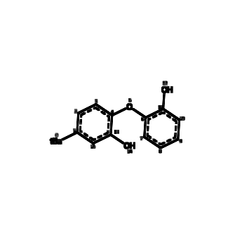 CC(C)(C)c1ccc(Oc2ccccc2O)c(O)c1